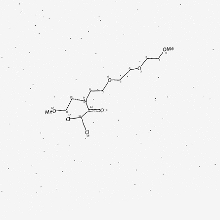 COCCOCCOCCN(CCOC)C(=O)C(Cl)Cl